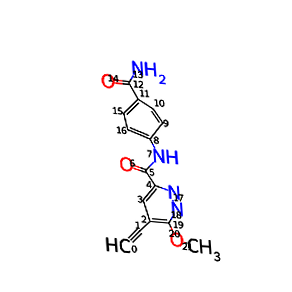 C#Cc1cc(C(=O)Nc2ccc(C(N)=O)cc2)nnc1OC